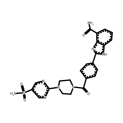 NC(=O)c1cccc2[nH]c(-c3ccc(C(=O)N4CCN(c5ncc(S(N)(=O)=O)cn5)CC4)cc3)nc12